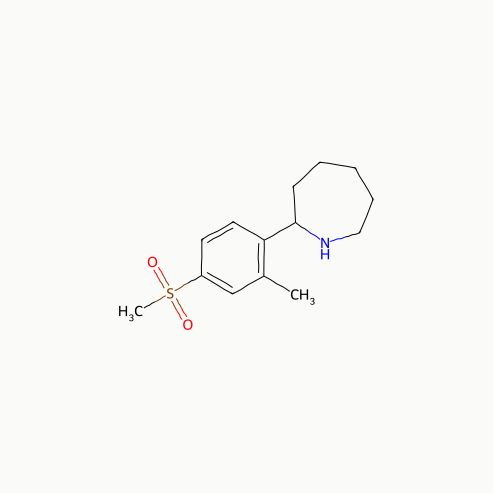 Cc1cc(S(C)(=O)=O)ccc1C1CCCCCN1